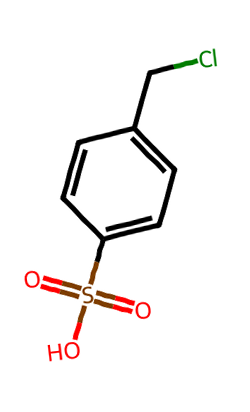 O=S(=O)(O)c1ccc(CCl)cc1